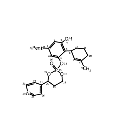 CCCCCc1cc(O)c(C2C=C(C)CCC2)c(OP2(=O)OCCC(c3ccncc3)O2)c1